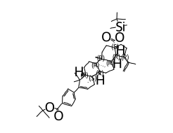 C=C(C)[C@@H]1CC[C@]2(C(=O)O[Si](C)(C)C(C)(C)C)CC[C@]3(C)[C@H](CC[C@@H]4[C@@]5(C)CC=C(c6ccc(C(=O)OC(C)(C)C)cc6)C(C)(C)[C@@H]5CC[C@]43C)[C@@H]12